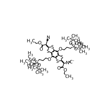 [C-]#[N+]C(C(=O)OCC)=C1Sc2c(OCCC[Si](C)(O[Si](C)(C)C)O[Si](C)(C)C)c3c(c(OCCC[Si](C)(O[Si](C)(C)C)O[Si](C)(C)C)c2S1)SC(=C(C#N)C(=O)OCC)S3